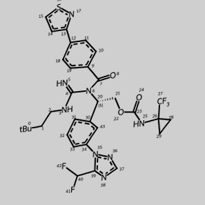 CC(C)(C)CCNC(=N)N(C(=O)c1ccc(-c2ccsn2)cc1)[C@H](COC(=O)NC1(C(F)(F)F)CC1)c1cccc(-n2ncnc2C(F)F)c1